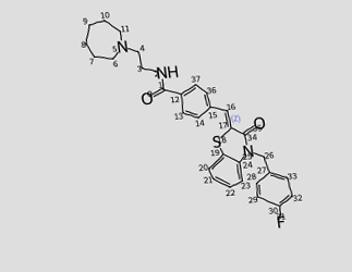 O=C(NCCN1CCCCCC1)c1ccc(/C=C2\Sc3ccccc3N(Cc3ccc(F)cc3)C2=O)cc1